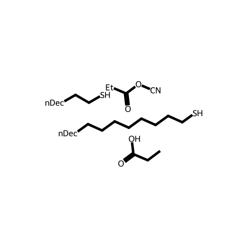 CCC(=O)O.CCC(=O)OC#N.CCCCCCCCCCCCCCCCCCS.CCCCCCCCCCCCS